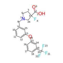 O=C(O)C1(F)CCN(Cc2cccc(Oc3cccc(C(F)(F)F)c3)c2)C1